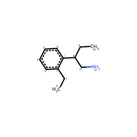 CCc1ccccc1C(CC)CN